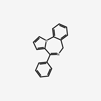 c1ccc(C2=NCc3ccccc3-n3cccc32)cc1